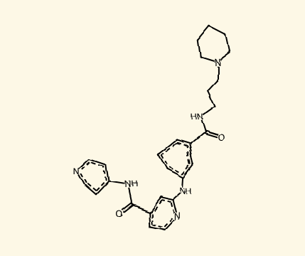 O=C(NCCCN1CCCCC1)c1cccc(Nc2cc(C(=O)Nc3ccncc3)ccn2)c1